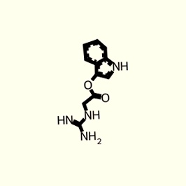 N=C(N)NCC(=O)Oc1c[nH]c2ccccc12